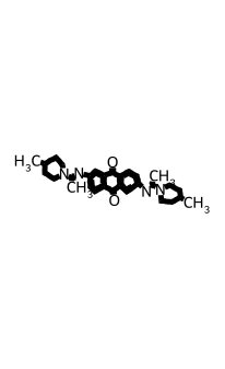 C/C(=N\c1ccc2c(c1)C(=O)c1ccc(/N=C(\C)N3CCC(C)CC3)cc1C2=O)N1CCC(C)CC1